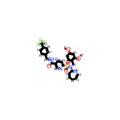 COc1ccc(CN(C2=NC=CCC=C2)S(=O)(=O)c2ccc(C(=O)NCc3ccc(C(F)(F)F)cc3)cn2)c(OC)c1